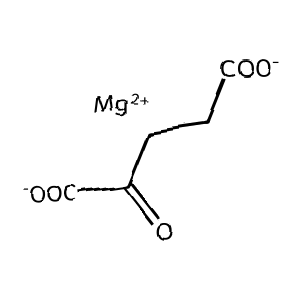 O=C([O-])CCC(=O)C(=O)[O-].[Mg+2]